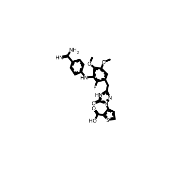 COc1cc(Cc2nn(-c3ccsc3C(=O)O)c(=O)[nH]2)c(F)c(Nc2ccc(C(=N)N)cc2)c1OC